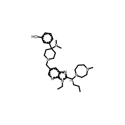 CCC[C@@H](c1nc2cc(CN3CCC(c4cccc(O)c4)(N(C)C)CC3)cnc2n1CC)N1CCCN(C)CC1